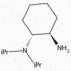 CC(C)N(C(C)C)[C@@H]1CCCC[C@H]1N